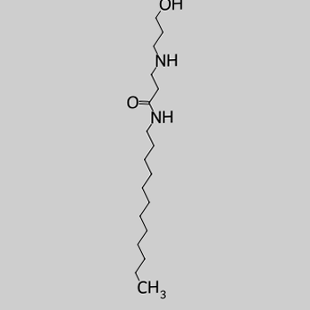 CCCCCCCCCCCCNC(=O)CCNCCCO